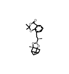 C[C@H](Cc1cccc2c1OC(C)(C)OC2=O)B1OC23CC4CC(C42C)[C@]3(C)O1